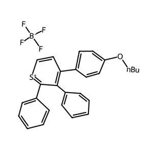 CCCCOc1ccc(-c2cc[s+]c(-c3ccccc3)c2-c2ccccc2)cc1.F[B-](F)(F)F